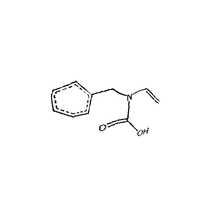 C=CN(Cc1ccccc1)C(=O)O